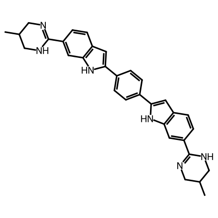 CC1CN=C(c2ccc3cc(-c4ccc(-c5cc6ccc(C7=NCC(C)CN7)cc6[nH]5)cc4)[nH]c3c2)NC1